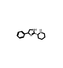 c1ccc(C2CNC([C@@H]3CCCCN3)=N2)cc1